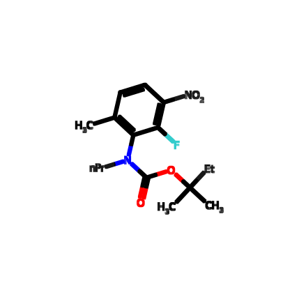 CCCN(C(=O)OC(C)(C)CC)c1c(C)ccc([N+](=O)[O-])c1F